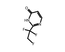 O=c1ccnc(C(F)(F)CF)[nH]1